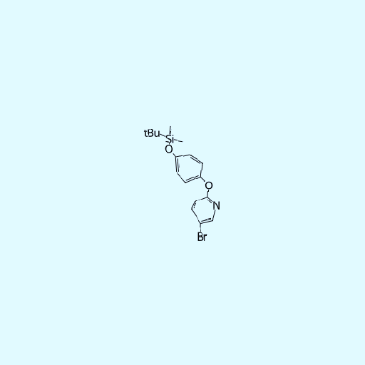 CC(C)(C)[Si](C)(C)Oc1ccc(Oc2ccc(Br)cn2)cc1